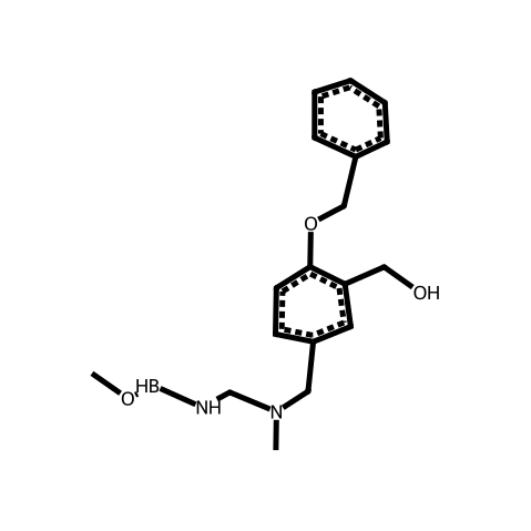 COBNCN(C)Cc1ccc(OCc2ccccc2)c(CO)c1